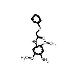 COc1cc(NC(=O)CSc2ccccc2)c(OC)cc1N